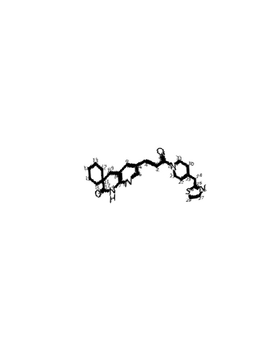 O=C(C=Cc1cnc2c(c1)CC1(CCCCC1)C(=O)N2)N1CC=C(Cc2nccs2)CC1